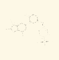 Cc1nc2c(F)cc(-c3nc(N[C@@H]4CCN(S(C)(=O)=O)C[C@H]4O)ncc3Cl)cc2n1C